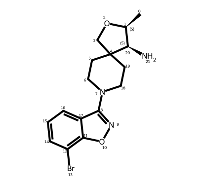 C[C@@H]1OCC2(CCN(c3noc4c(Br)cccc34)CC2)[C@@H]1N